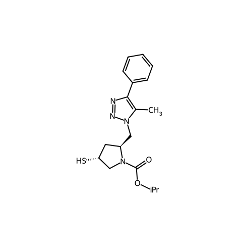 Cc1c(-c2ccccc2)nnn1C[C@@H]1C[C@@H](S)CN1C(=O)OC(C)C